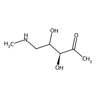 CNCC(O)[C@H](O)C(C)=O